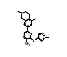 Cc1cc(-c2cnc(N)c(Oc3cnn(C)c3)n2)cc2c1CCN(C)C2